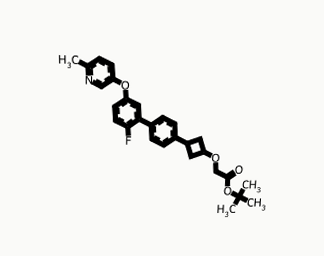 Cc1ccc(Oc2ccc(F)c(-c3ccc(C4CC(OCC(=O)OC(C)(C)C)C4)cc3)c2)cn1